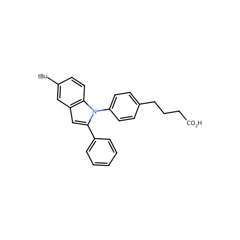 CC(C)(C)c1ccc2c(c1)cc(-c1ccccc1)n2-c1ccc(CCCC(=O)O)cc1